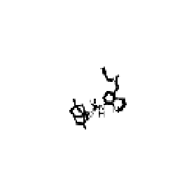 C#CCN(C)Cc1ccc(NC(=O)OC23CC4CC(C)(CC(C)(C4)C2)C3)c2ncccc12